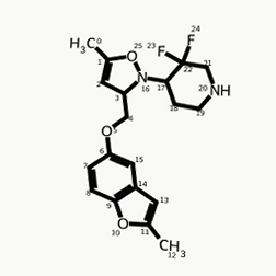 CC1=CC(COc2ccc3oc(C)cc3c2)N(C2CCNCC2(F)F)O1